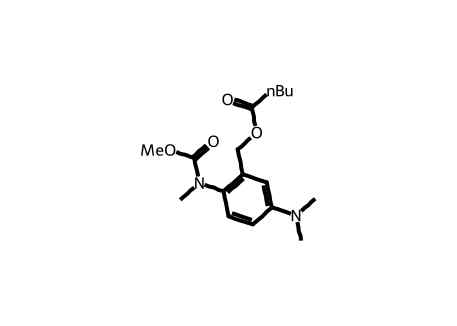 CCCCC(=O)OCc1cc(N(C)C)ccc1N(C)C(=O)OC